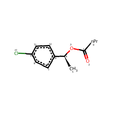 CCCC(=O)O[C@@H](C)c1ccc(Cl)cc1